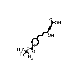 CC(C)(C)OC(=O)N1CCC(CCCC(O)C#CC(=O)O)CC1